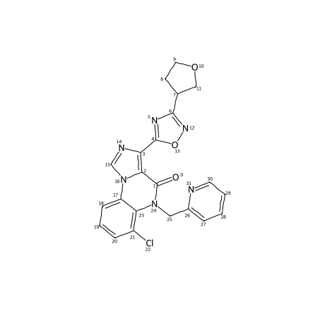 O=c1c2c(-c3nc(C4CCOC4)no3)ncn2c2cccc(Cl)c2n1Cc1ccccn1